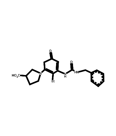 CCC1=C(N2CCC(C(=O)O)C2)CC(=O)C=C1NC(=O)NCc1ccccc1